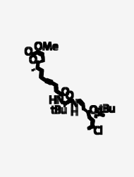 COC1=CC[C@@H]([C@@H](C)/C=C/C#C/C=C/C(=O)N[C@H](C(=O)N/C=C\C[C@H](C/C=C(\C)Cl)O[Si](C)(C)C(C)(C)C)C(C)(C)C)OC1=O